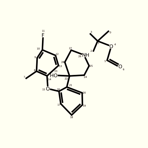 CC(C)(C)OC=O.Cc1cc(F)ccc1Oc1ccccc1C1(O)CCNCC1